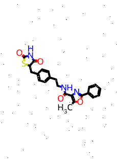 Cc1oc(-c2ccccc2)nc1C(=O)NCCc1ccc(CC2SC(=O)NC2=O)cc1